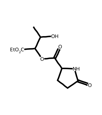 CCOC(=O)C(OC(=O)C1CCC(=O)N1)C(C)O